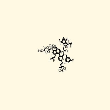 C[C@H](OC(=O)N(c1nn(CC(F)(F)F)c2c(-c3ccc(CCC(C)(C)S(C)(=O)=O)nc3[C@H](Cc3cc(F)cc(F)c3)NC(=O)Cn3nc(C(F)(F)F)c4c3C(F)(F)C3C[C@H]43)ccc(Cl)c12)S(C)(=O)=O)C(=O)O